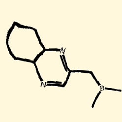 CB(C)CC1=NC2CCCCC2N=C1